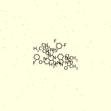 CC(=O)N(c1nn(C)c2c(-n3c(C(Cc4cc(F)cc(F)c4)NC(=O)OC(C)(C)C)nc4nc(Oc5ccccc5F)ccc4c3=O)ccc(Cl)c12)S(C)(=O)=O